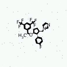 C[C@@H](O[C@H]1CC[C@@H](Cn2ccnc2)[C@@H]1c1ccc(F)cc1)c1cc(C(F)(F)F)cc(C(F)(F)F)c1